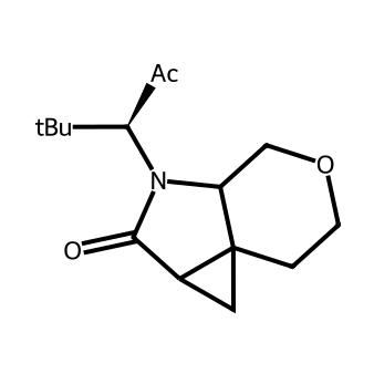 CC(=O)[C@@H](N1C(=O)C2CC23CCOCC13)C(C)(C)C